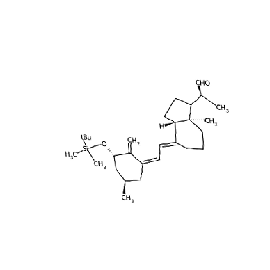 C=C1/C(=C\C=C2/CCC[C@]3(C)C([C@H](C)C=O)CC[C@@H]23)C[C@@H](C)C[C@@H]1O[Si](C)(C)C(C)(C)C